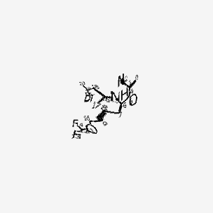 C=C(C#N)C(=O)/C(=C/C=C/COC(F)F)N/C(C)=C/C(C)Br